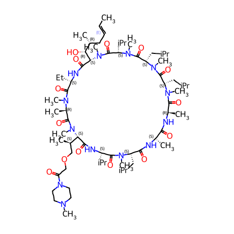 C/C=C/C[C@@H](C)[C@@H](O)[C@H]1C(=O)N[C@@H](CC)C(=O)N(C)[C@H](C)C(=O)N(C)[C@@H]([C@H](C)COCC(=O)N2CCN(C)CC2)C(=O)N[C@@H](C(C)C)C(=O)N(C)[C@@H](CC(C)C)C(=O)N[C@@H](C)C(=O)N[C@H](C)C(=O)N(C)[C@@H](CC(C)C)C(=O)N(C)[C@@H](CC(C)C)C(=O)N(C)[C@@H](C(C)C)C(=O)N1C